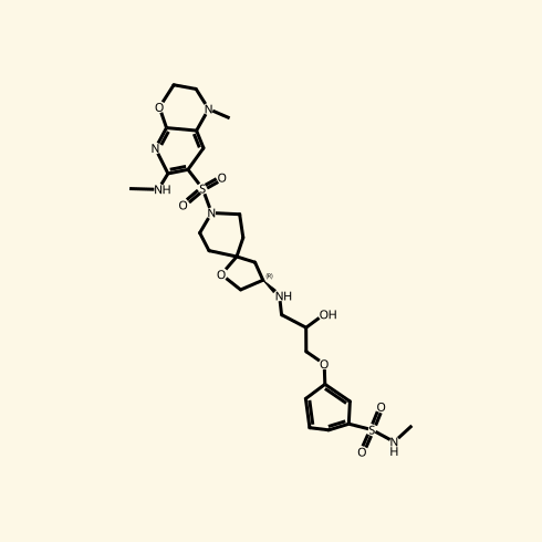 CNc1nc2c(cc1S(=O)(=O)N1CCC3(CC1)C[C@@H](NCC(O)COc1cccc(S(=O)(=O)NC)c1)CO3)N(C)CCO2